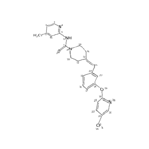 Cc1ccnc(NC(=O)N2CCC(=Cc3cccc(Oc4ccc(C(F)(F)F)cn4)c3)CC2)c1